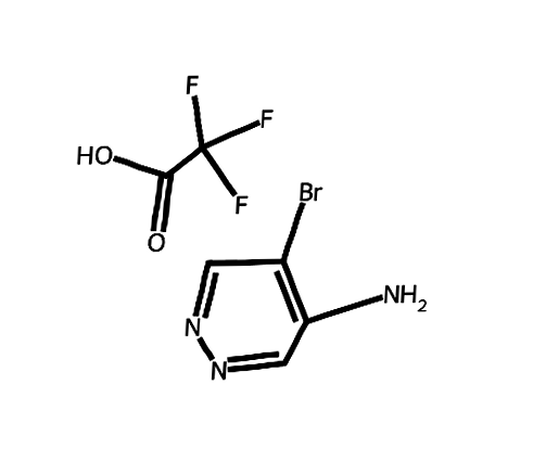 Nc1cnncc1Br.O=C(O)C(F)(F)F